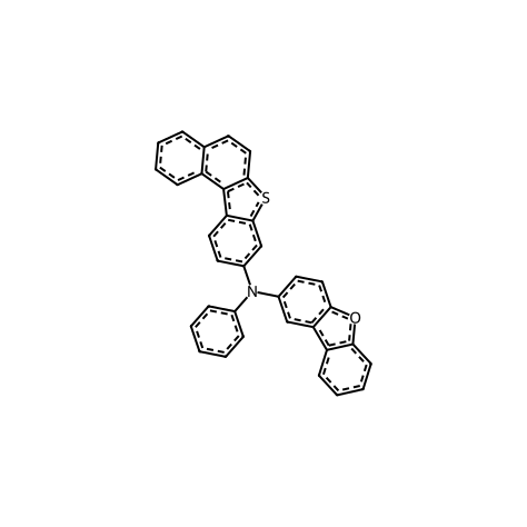 c1ccc(N(c2ccc3c(c2)sc2ccc4ccccc4c23)c2ccc3oc4ccccc4c3c2)cc1